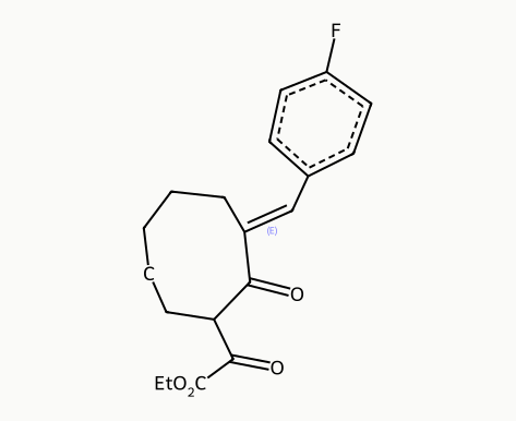 CCOC(=O)C(=O)C1CCCCC/C(=C\c2ccc(F)cc2)C1=O